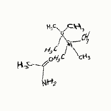 CC(N)=O.C[Si](C)(C)[Si](C)(C)C